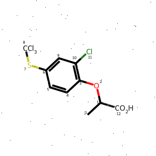 CC(Oc1ccc(SC(Cl)(Cl)Cl)cc1Cl)C(=O)O